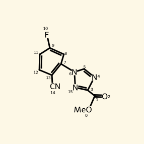 COC(=O)c1ncn(-c2cc(F)ccc2C#N)n1